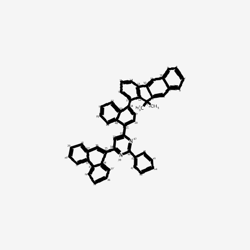 CC1(C)c2cc3ccccc3cc2-c2cccc(-c3ccc(-c4cc(-c5cc6ccccc6c6ccccc56)nc(-c5ccccc5)n4)c4ccccc34)c21